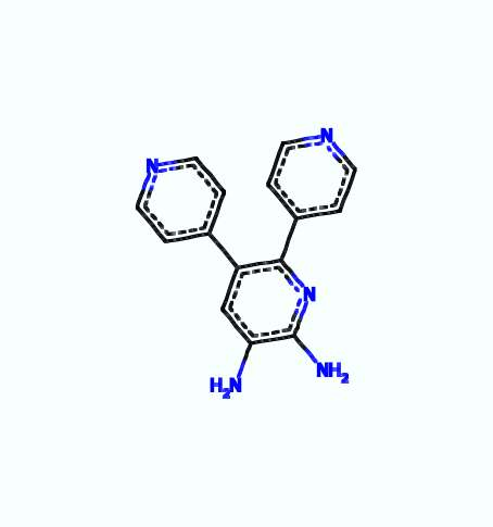 Nc1cc(-c2ccncc2)c(-c2ccncc2)nc1N